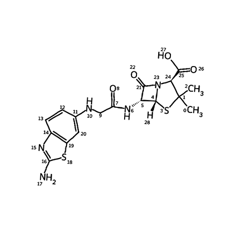 CC1(C)S[C@@H]2[C@H](NC(=O)CNc3ccc4nc(N)sc4c3)C(=O)N2[C@H]1C(=O)O